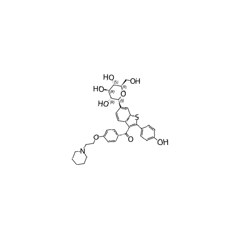 O=C(c1ccc(OCCN2CCCCC2)cc1)c1c(-c2ccc(O)cc2)sc2cc([C@@H]3O[C@H](CO)[C@@H](O)[C@H](O)[C@H]3O)ccc12